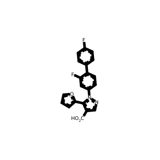 O=C(O)c1cnn(-c2ccc(-c3ccc(F)cc3)c(F)c2)c1-c1ccco1